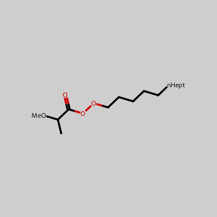 CCCCCCCCCCCCOOC(=O)C(C)OC